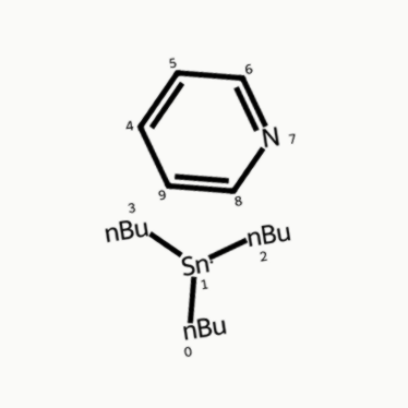 CCC[CH2][Sn]([CH2]CCC)[CH2]CCC.c1ccncc1